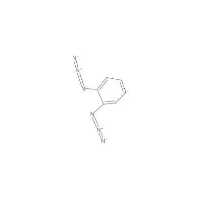 [N-]=[N+]=Nc1ccccc1N=[N+]=[N-]